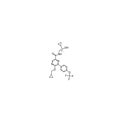 C[C@](O)(CNC(=O)c1cnc(OCC2CC2)c(-c2ccc(OC(F)(F)F)cc2)n1)C1CC1